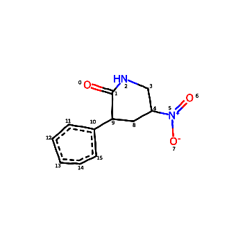 O=C1NCC([N+](=O)[O-])CC1c1ccccc1